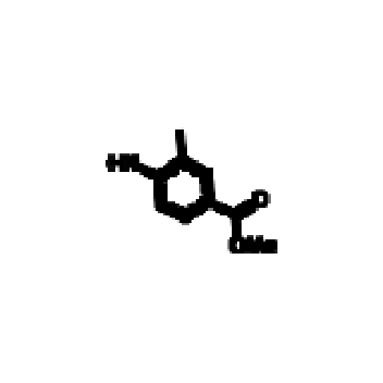 COC(=O)c1ccc([NH])c(C)c1